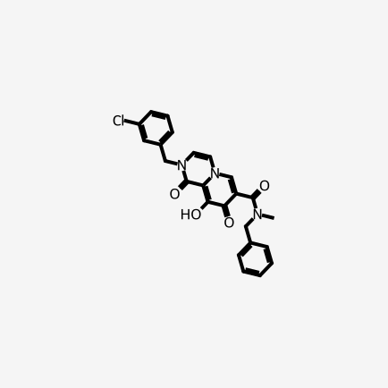 CN(Cc1ccccc1)C(=O)c1cn2ccn(Cc3cccc(Cl)c3)c(=O)c2c(O)c1=O